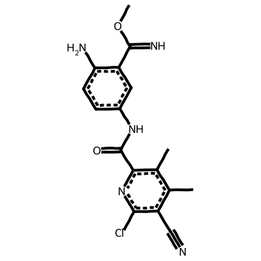 COC(=N)c1cc(NC(=O)c2nc(Cl)c(C#N)c(C)c2C)ccc1N